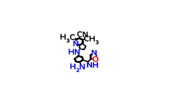 Cc1nc2c(c(C)c1C#N)CCC2Nc1ccc(N)c(C(=N)c2cnco2)c1